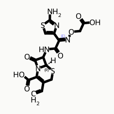 C=CC1=C(C(=O)O)N2C(=O)C(NC(=O)/C(=N/OCC(=O)O)c3csc(N)n3)[C@H]2SC1